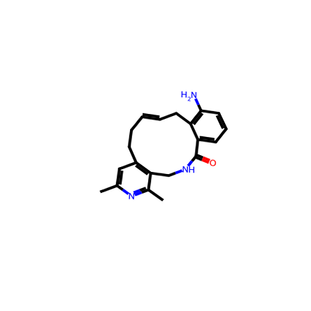 Cc1cc2c(c(C)n1)CNC(=O)c1cccc(N)c1C/C=C/CC2